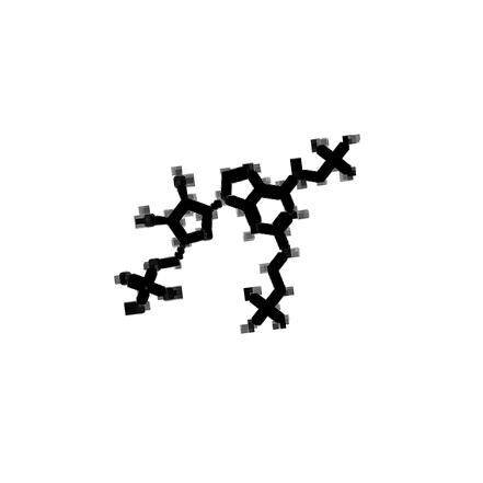 O=P(O)(O)OC[C@H]1O[C@@H](n2cnc3c(NCC(F)(F)F)nc(SCCC(F)(F)F)nc32)[C@H](O)[C@@H]1O